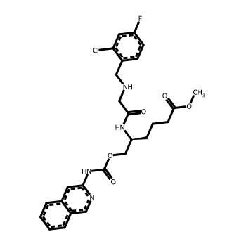 COC(=O)CCC[C@@H](COC(=O)Nc1cc2ccccc2cn1)NC(=O)CNCc1ccc(F)cc1Cl